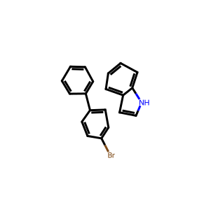 Brc1ccc(-c2ccccc2)cc1.c1ccc2[nH]ccc2c1